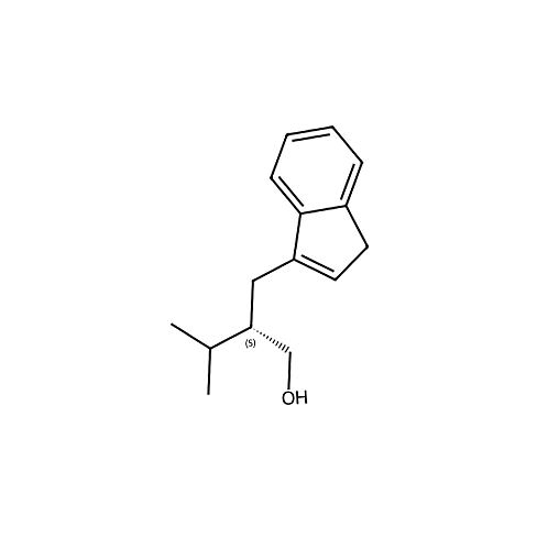 CC(C)[C@@H](CO)CC1=CCc2ccccc21